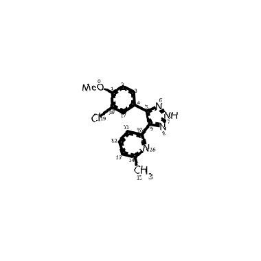 COc1ccc(-c2n[nH]nc2-c2cccc(C)n2)cc1Cl